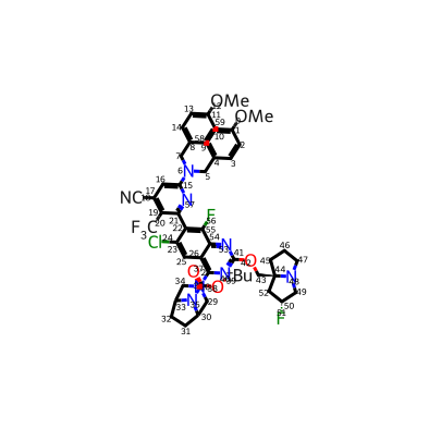 COc1ccc(CN(Cc2ccc(OC)cc2)c2cc(C#N)c(C(F)(F)F)c(-c3c(Cl)cc4c(N5CC6CCC(C5)N6C(=O)OC(C)(C)C)nc(OC[C@@]56CCCN5C[C@H](F)C6)nc4c3F)n2)cc1